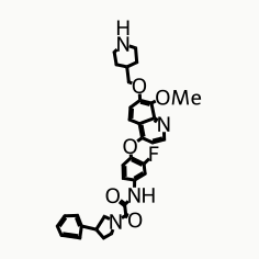 COc1c(OCC2CCNCC2)ccc2c(Oc3ccc(NC(=O)C(=O)N4CCC(c5ccccc5)C4)cc3F)ccnc12